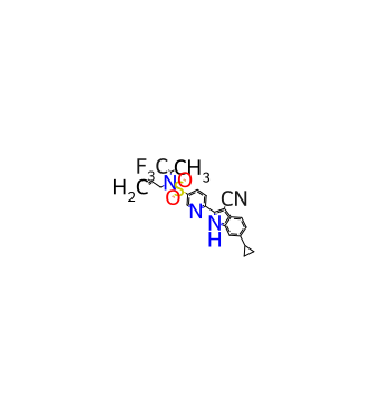 C=CCN([C@@H](C)C(F)(F)F)S(=O)(=O)c1ccc(-c2[nH]c3cc(C4CC4)ccc3c2C#N)nc1